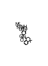 CC1(C)CCC(n2c(=O)oc3cc(S(=O)(=O)Nc4ncns4)c(F)cc32)c2ccccc21